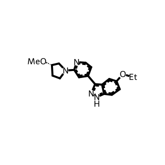 CCOc1ccc2[nH]nc(-c3ccnc(N4CC[C@H](OC)C4)c3)c2c1